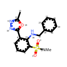 CNS(=O)(=O)c1cccc(-c2nnc(C)o2)c1NCc1ccccc1